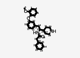 COc1ccccc1Oc1cccc(CC(NC(=O)Cc2ccccc2)C2CCNCC2)c1